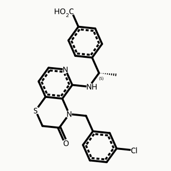 C[C@H](Nc1nccc2c1N(Cc1cccc(Cl)c1)C(=O)CS2)c1ccc(C(=O)O)cc1